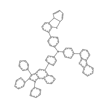 C1=CC2Sc3c(-c4ccc(N(c5ccc(-c6cc7c(-c8ccccc8)c(-c8ccccc8)n(-c8ccccc8)c7c7ccccc67)cc5)c5ccc(-c6cccc7c6sc6ccccc67)cc5)cc4)cccc3C2C=C1